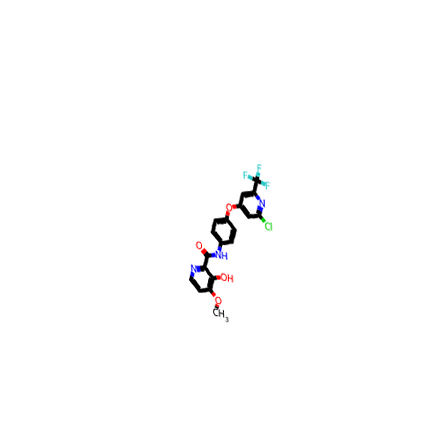 COc1ccnc(C(=O)Nc2ccc(Oc3cc(Cl)nc(C(F)(F)F)c3)cc2)c1O